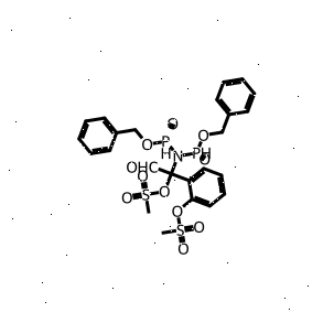 CS(=O)(=O)Oc1ccccc1C(C=O)(OS(C)(=O)=O)N([PH](=O)OCc1ccccc1)[PH](=O)OCc1ccccc1